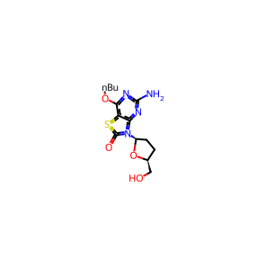 CCCCOc1nc(N)nc2c1sc(=O)n2[C@H]1CC[C@@H](CO)O1